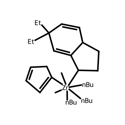 CCC[CH2][Zr]([CH3])([CH3])([CH2]CCC)([CH2]CCC)([C]1=CC=CC1)[CH]1CCC2C=CC(CC)(CC)C=C21